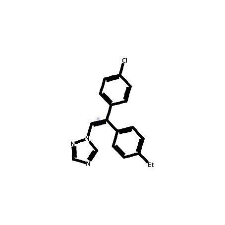 CCc1ccc(/C(=C\n2cncn2)c2ccc(Cl)cc2)cc1